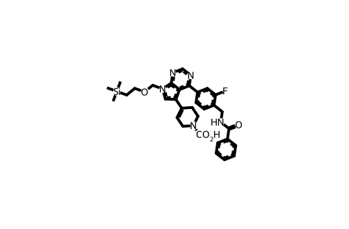 C[Si](C)(C)CCOCn1cc(C2=CCN(C(=O)O)CC2)c2c(-c3ccc(CNC(=O)c4ccccc4)c(F)c3)ncnc21